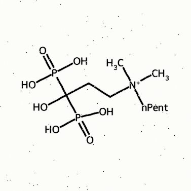 CCCCC[N+](C)(C)CCC(O)(P(=O)(O)O)P(=O)(O)O